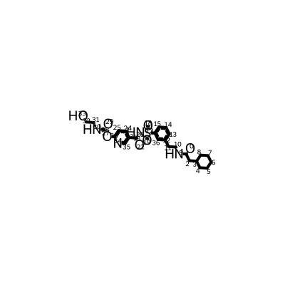 O=C(CC1CCCCC1)NCCc1cccc(S(=O)(=O)NC(=O)c2ccc(OC(=O)NCCO)nc2)c1